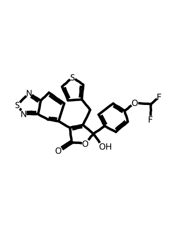 O=C1OC(O)(c2ccc(OC(F)F)cc2)C(Cc2ccsc2)=C1c1ccc2nsnc2c1